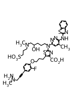 Cc1cc(N(CCCC(O)CN(C)CCCS(=O)(=O)O)c2nc(C(=O)O)c(CCCOc3ccc(C#CCN(C)N)cc3F)s2)nnc1Nc1nc2ccccc2s1